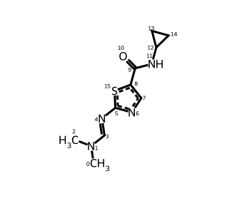 CN(C)/C=N/c1ncc(C(=O)NC2CC2)s1